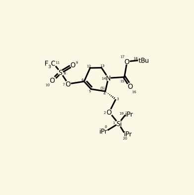 CC(C)[Si](OC[C@@H]1C=C(OS(=O)(=O)C(F)(F)F)CCN1C(=O)OC(C)(C)C)(C(C)C)C(C)C